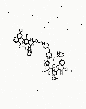 CCc1cccc2cc(O)cc(-c3ncc4c(N5CC6CCC(C5)N6)nc(OCCN5CCC(CC6CCN(c7cc(C(C(=O)N8C[C@H](O)C[C@H]8C(=O)NC(C)c8ccc(-c9scnc9C)cc8)C(C)C)on7)CC6)CC5)nc4c3F)c12